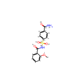 COc1ccccc1C(=O)NS(=O)(=O)c1ccc(C(N)=O)cc1